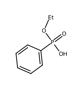 CCOP(=O)(O)c1ccccc1